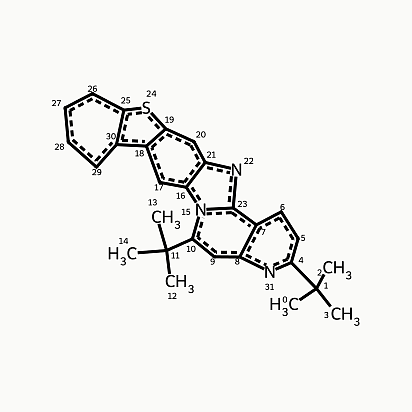 CC(C)(C)c1ccc2c(cc(C(C)(C)C)n3c4cc5c(cc4nc23)sc2ccccc25)n1